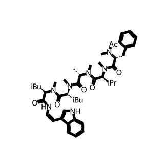 CC[C@H](C)C(C(=O)N/C=C\c1c[nH]c2ccccc12)N(C)C(=O)[C@H]([C@@H](C)CC)N(C)C(=O)[C@H](C)N(C)C(=O)[C@H](C(C)C)N(C)C(=O)[C@@H](Cc1ccccc1)N(C)C(C)=O